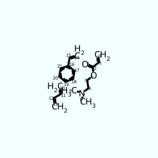 C=CC(=O)OCCN(C)C.C=CC=C.C=Cc1ccccc1